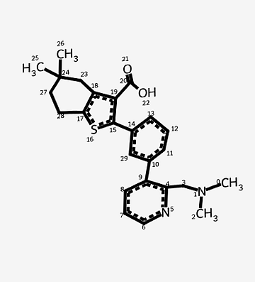 CN(C)Cc1ncccc1-c1cccc(-c2sc3c(c2C(=O)O)CC(C)(C)CC3)c1